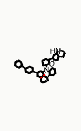 C1=Cc2cc3oc4c(N(c5cccc(-c6ccc(-c7ccccc7)cc6)c5)c5ccccc5-c5ccccc5)cccc4c3cc2NC1